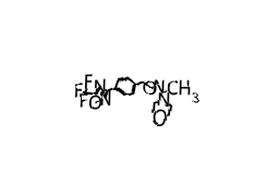 C/C(=N/OCc1ccc(-c2noc(C(F)(F)F)n2)cc1)N1CCOCC1